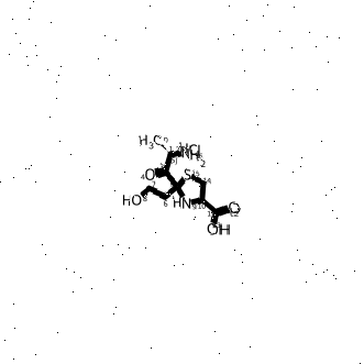 C[C@H](N)C(=O)C1(CCO)NC(C(=O)O)CS1.Cl